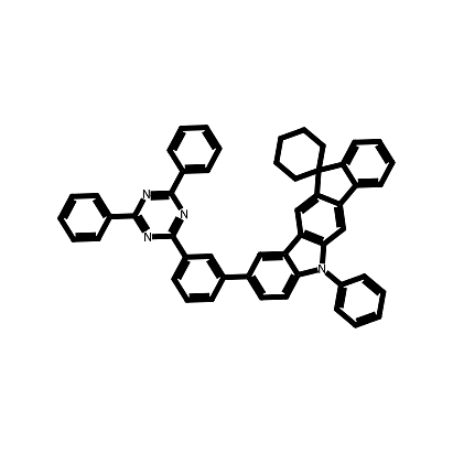 c1ccc(-c2nc(-c3ccccc3)nc(-c3cccc(-c4ccc5c(c4)c4cc6c(cc4n5-c4ccccc4)-c4ccccc4C64CCCCC4)c3)n2)cc1